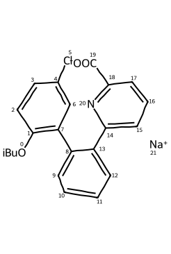 CC(C)COc1ccc(Cl)cc1-c1ccccc1-c1cccc(C(=O)[O-])n1.[Na+]